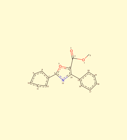 COC(=O)c1oc(-c2ccccc2)nc1-c1ccccc1